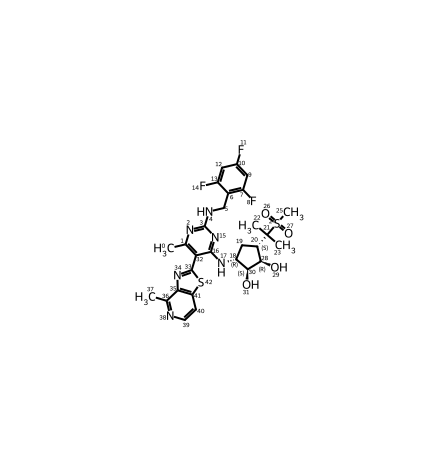 Cc1nc(NCc2c(F)cc(F)cc2F)nc(N[C@@H]2C[C@H](C(C)(C)S(C)(=O)=O)[C@@H](O)[C@H]2O)c1-c1nc2c(C)nccc2s1